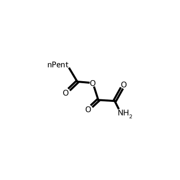 CCCCCC(=O)OC(=O)C(N)=O